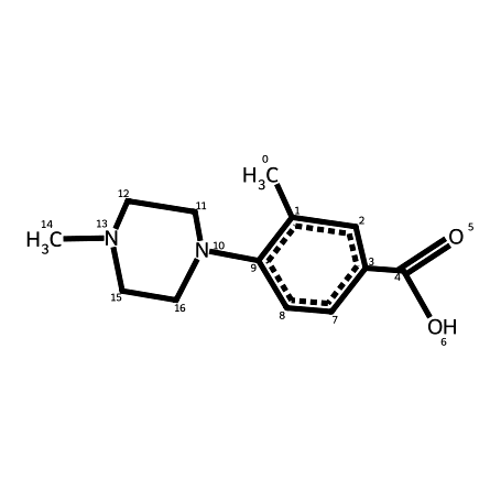 Cc1cc(C(=O)O)ccc1N1CCN(C)CC1